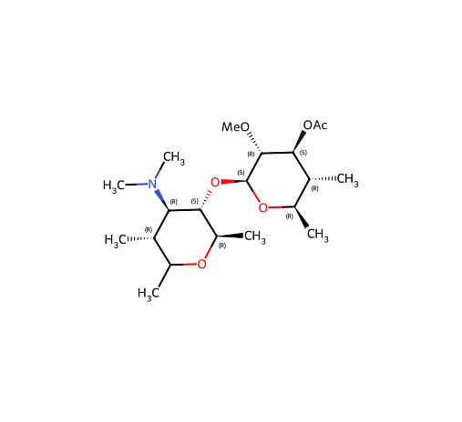 CO[C@H]1[C@H](O[C@H]2[C@H](N(C)C)[C@@H](C)C(C)O[C@@H]2C)O[C@H](C)[C@@H](C)[C@@H]1OC(C)=O